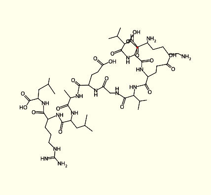 CC(C)CC(NC(=O)C(CCCNC(=N)N)NC(=O)C(CC(C)C)NC(=O)C(C)NC(=O)C(CCC(=O)O)NC(=O)CNC(=O)C(NC(=O)C(CCC(=O)O)NC(=O)C(CC(=O)O)NC(=O)C(NC(=O)C(N)CCCCN)C(C)C)C(C)C)C(=O)O